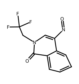 O=Nc1cn(CC(F)(F)F)c(=O)c2ccccc12